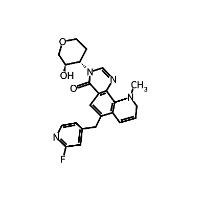 CN1CC=Cc2c(Cc3ccnc(F)c3)cc3c(=O)n([C@H]4CCOC[C@@H]4O)cnc3c21